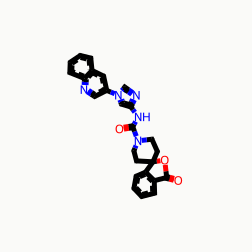 O=C1OC2(CCN(C(=O)Nc3cn(-c4cnc5ccccc5c4)cn3)CC2)c2ccccc21